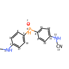 N#CNc1ccc([PH](=O)c2ccc(NC#N)cc2)cc1